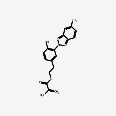 C=C(C)C(=O)OCCc1ccc(O)c(-n2nc3ccc(C)cc3n2)c1